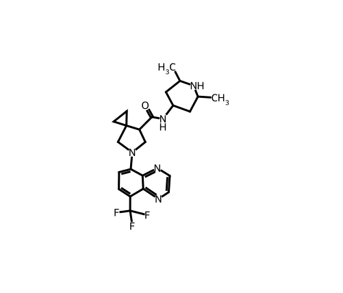 CC1CC(NC(=O)C2CN(c3ccc(C(F)(F)F)c4nccnc34)CC23CC3)CC(C)N1